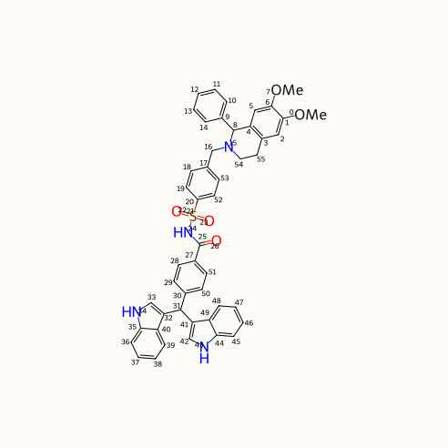 COc1cc2c(cc1OC)C(c1ccccc1)N(Cc1ccc(S(=O)(=O)NC(=O)c3ccc(C(c4c[nH]c5ccccc45)c4c[nH]c5ccccc45)cc3)cc1)CC2